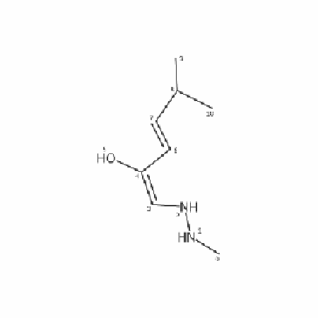 CNN/C=C(O)\C=C\C(C)C